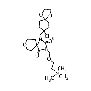 CC1(CN2C(=O)N(COCC[Si](C)(C)C)C(=O)C23CCOCC3)CCC2(CC1)OCCO2